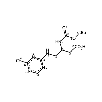 CC(C)(C)OC(=O)NC(CNc1ncnc(Cl)n1)CC(=O)O